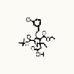 CCOC(=O)C1=C(CCc2cccc(Cl)c2)C(C(=O)OC(C)(C)C)=NC1(CC)CC(=O)O